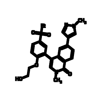 CCS(=O)(=O)c1ccc(OCCO)c(-c2cn(C)c(=O)c3ccc(-c4cnn(C)c4)cc23)c1